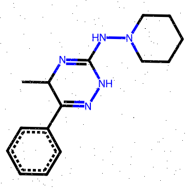 CC1N=C(NN2CCCCC2)NN=C1c1ccccc1